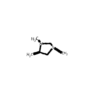 C=C1CS(=C)CN1C